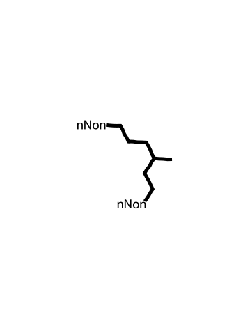 [CH2]CCCCCCCCCCCC(C)CCCCCCCCCC[CH2]